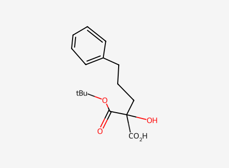 CC(C)(C)OC(=O)C(O)(CCCc1ccccc1)C(=O)O